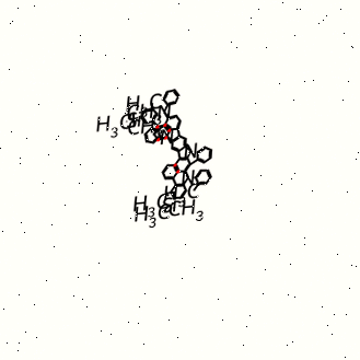 Cc1ccccc1N(c1ccc([Si](C)(C)C)cc1-c1ccccc1)c1ccc2c3cc4c(cc3n3c5ccccc5c1c23)c1ccc(N(c2ccccc2C)c2ccc([Si](C)(C)C)cc2-c2ccccc2)c2c3ccccc3n4c12